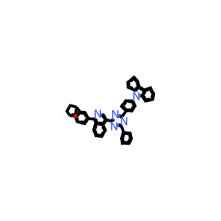 c1ccc(-c2nc(-c3ccc(-n4c5ccccc5c5ccccc54)cc3)nc(-c3cnc(-c4ccc5c(c4)C4CCC5C4)c4ccccc34)n2)cc1